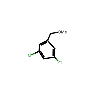 COCc1[c]c(Cl)cc(Cl)c1